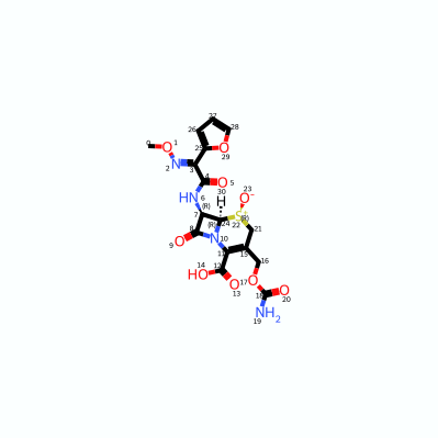 CON=C(C(=O)N[C@@H]1C(=O)N2C(C(=O)O)=C(COC(N)=O)C[S@+]([O-])[C@H]12)c1ccco1